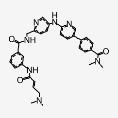 CN(C)CC=CC(=O)Nc1cccc(C(=O)NCc2ccc(Nc3ccc(-c4ccc(C(=O)N(C)C)cc4)cn3)cn2)c1